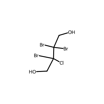 OCC(Cl)(Br)C(Br)(Br)CO